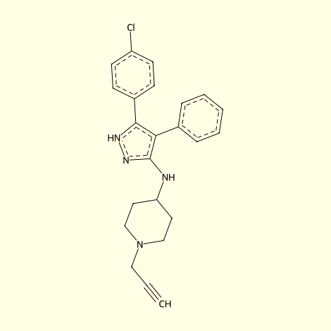 C#CCN1CCC(Nc2n[nH]c(-c3ccc(Cl)cc3)c2-c2ccccc2)CC1